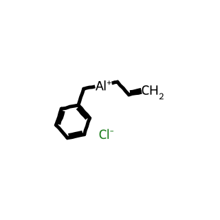 C=C[CH2][Al+][CH2]c1ccccc1.[Cl-]